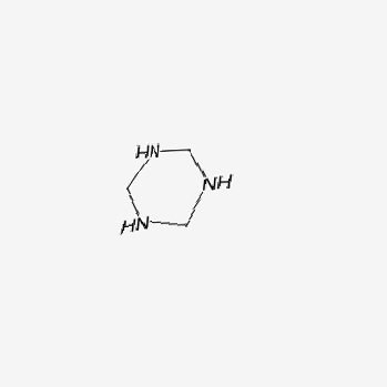 C1NCNCN1